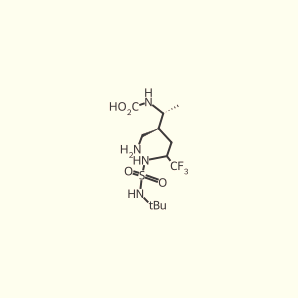 C[C@@H](NC(=O)O)[C@H](CN)CC(NS(=O)(=O)NC(C)(C)C)C(F)(F)F